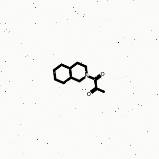 CC(=O)C(=O)N1CCC2CCCCC2C1